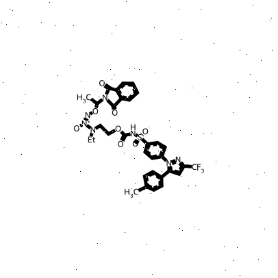 CCN(CCOC(=O)NS(=O)(=O)c1ccc(-n2nc(C(F)(F)F)cc2-c2ccc(C)cc2)cc1)/[N+]([O-])=N\OC(C)N1C(=O)c2ccccc2C1=O